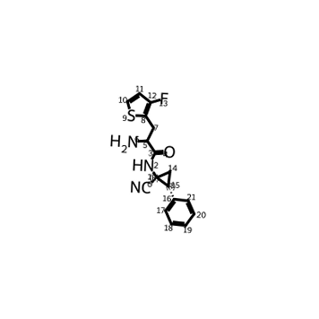 N#C[C@@]1(NC(=O)C(N)Cc2sccc2F)C[C@@H]1c1ccccc1